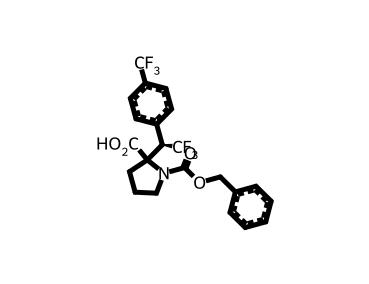 O=C(OCc1ccccc1)N1CCCC1(C(=O)O)[C@@H](c1ccc(C(F)(F)F)cc1)C(F)(F)F